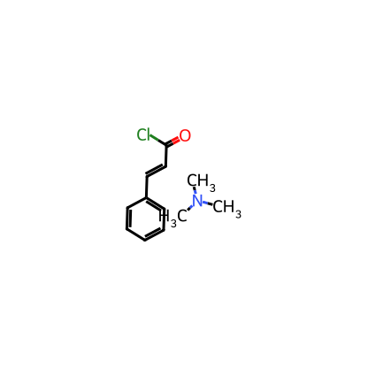 CN(C)C.O=C(Cl)C=Cc1ccccc1